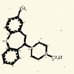 CCOC(=O)N1CCN(C2Cc3cc(C)ccc3Sc3ccccc32)CC1